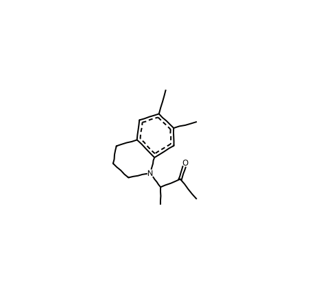 CC(=O)C(C)N1CCCc2cc(C)c(C)cc21